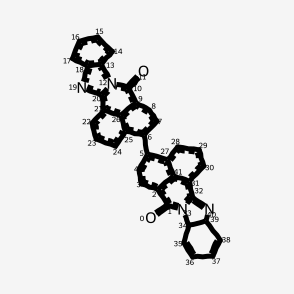 O=c1c2ccc(-c3ccc4c(=O)n5c6ccccc6nc5c5cccc3c45)c3cccc(c4n1C1C=CC=CC1N=4)c32